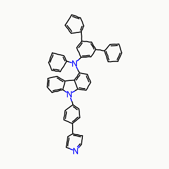 c1ccc(-c2cc(-c3ccccc3)cc(N(c3ccccc3)c3cccc4c3c3ccccc3n4-c3ccc(-c4ccncc4)cc3)c2)cc1